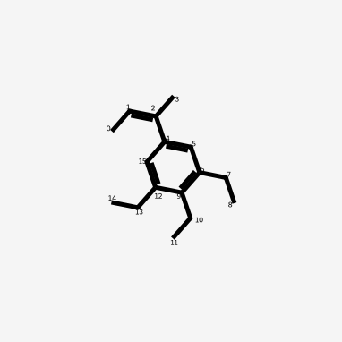 C/C=C(/C)c1cc(CC)c(CC)c(CC)c1